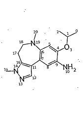 CC(C)Oc1cc2c(cc1N)-c1cnn(C)c1CCN2C